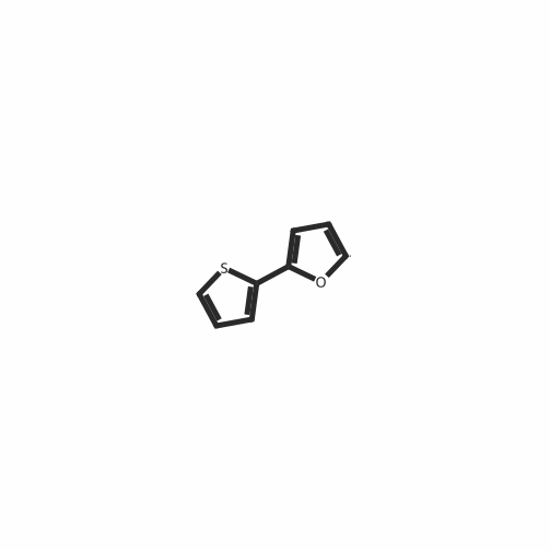 [c]1ccc(-c2cccs2)o1